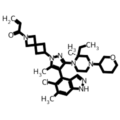 C=CC(=O)N1CC2(CC(n3nc(N4CCN(C5CCCOC5)C[C@]4(C)CC)c(-c4c(Cl)c(C)cc5[nH]ncc45)c3C)C2)C1